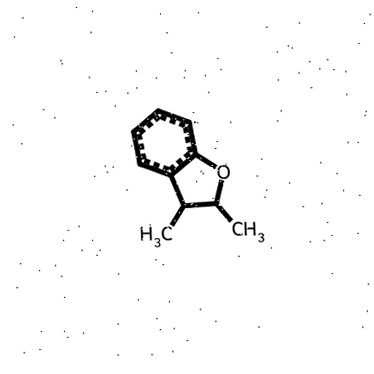 CC1Oc2[c]cccc2C1C